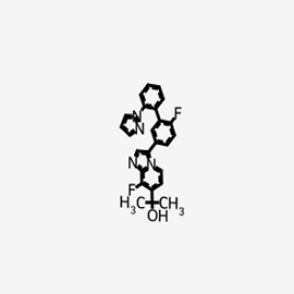 CC(C)(O)c1ccn2c(-c3ccc(F)c(-c4ccccc4-n4cccn4)c3)cnc2c1F